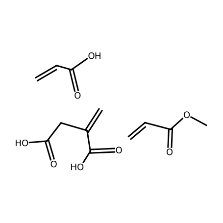 C=C(CC(=O)O)C(=O)O.C=CC(=O)O.C=CC(=O)OC